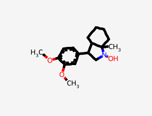 COc1ccc(C2CN(O)C3(C)CCCCC23)cc1OC